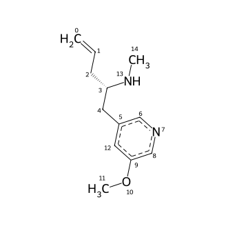 C=CC[C@@H](Cc1cncc(OC)c1)NC